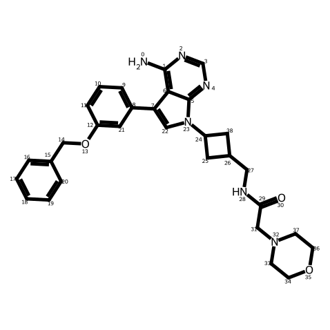 Nc1ncnc2c1c(-c1cccc(OCc3ccccc3)c1)cn2C1CC(CNC(=O)CN2CCOCC2)C1